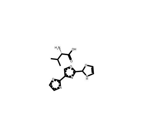 C1=COC(c2nc(-c3ncco3)co2)N1.CC(C)[C@H](N)C(=O)O